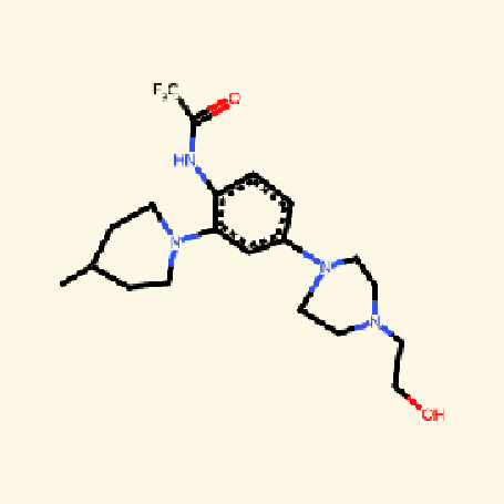 CC1CCN(c2cc(N3CCN(CCO)CC3)ccc2NC(=O)C(F)(F)F)CC1